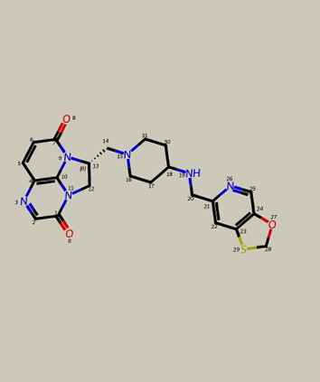 O=c1cnc2ccc(=O)n3c2n1C[C@H]3CN1CCC(NCc2cc3c(cn2)OCS3)CC1